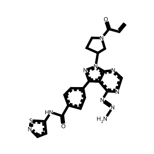 C=CC(=O)N1CCC(n2nc(-c3ccc(C(=O)Nc4ccns4)cc3)c3c(N=NN)ncnc32)C1